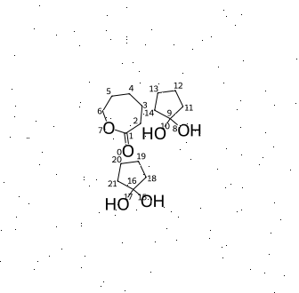 O=C1CCCCCO1.OC1(O)CCCC1.OC1(O)CCCC1